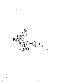 Cc1ncc(-c2ccc3c(c2)c(C(N)=O)nn3CC(=O)N2C[C@H](F)C[C@H]2C(=O)Nc2cccc(Br)n2)cn1